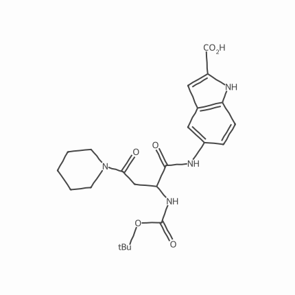 CC(C)(C)OC(=O)NC(CC(=O)N1CCCCC1)C(=O)Nc1ccc2[nH]c(C(=O)O)cc2c1